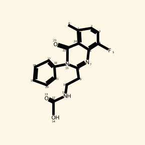 Cc1ccc(F)c2nc(CCNC(=O)O)n(-c3ccccc3)c(=O)c12